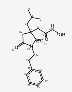 CC(C)CC1(CC(=O)NO)CC(=O)N(CCc2ccccc2)C1=O